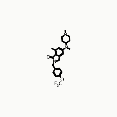 Cc1cc(N(C)C2CCN(C)CC2)cc2c1C(=O)N(Cc1ccc(OC(F)(F)F)cc1)C2